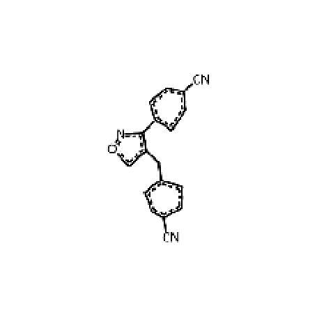 N#Cc1ccc(Cc2conc2-c2ccc(C#N)cc2)cc1